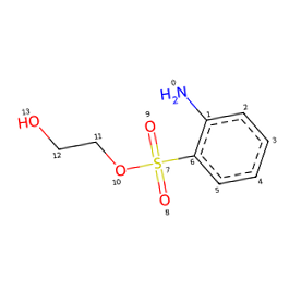 Nc1ccccc1S(=O)(=O)OCCO